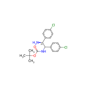 CC(C)(C)OC(=O)NC(c1ccc(Cl)cc1)[C@@H](N)c1ccc(Cl)cc1